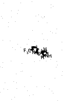 FC(F)(F)c1cccc(O[C@@H]2C[C@@H]3CN[C@H]2C3)n1